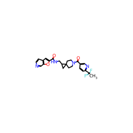 CC(F)(F)c1ccc(C(=O)N2CCC3(CC2)CC3CNC(=O)c2cc3ccncc3o2)cn1